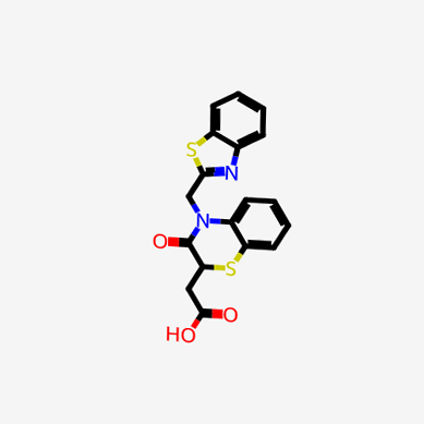 O=C(O)CC1Sc2ccccc2N(Cc2nc3ccccc3s2)C1=O